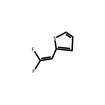 FC(F)=Cc1cc[c]s1